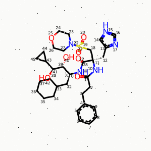 O=C(CCc1ccccc1)N[C@](Cc1c[nH]cn1)(CS(=O)(=O)N1CCOCC1)C(=O)N[C@@H](CC1CCCCC1)[C@@H](O)[C@@H](O)C1CC1